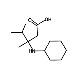 CC(C)C(C)(CC(=O)O)NC1CCCCC1